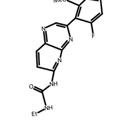 CCNC(=O)Nc1ccc2ncc(-c3c(F)cccc3OC)nc2n1